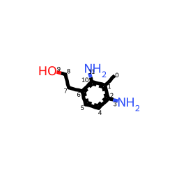 Cc1c(N)ccc(CCO)c1N